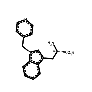 N[C@@H](Cc1cn(Cc2ccncc2)c2ccccc12)C(=O)O